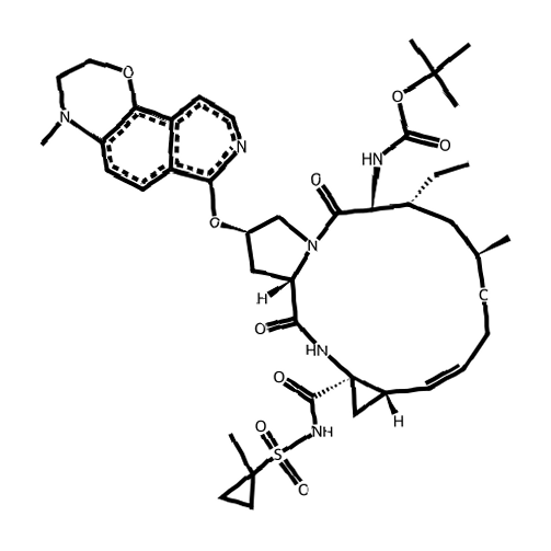 CC[C@@H]1C[C@@H](C)CC/C=C\[C@@H]2C[C@@]2(C(=O)NS(=O)(=O)C2(C)CC2)NC(=O)[C@@H]2C[C@@H](Oc3nccc4c5c(ccc34)N(C)CCO5)CN2C(=O)[C@H]1NC(=O)OC(C)(C)C